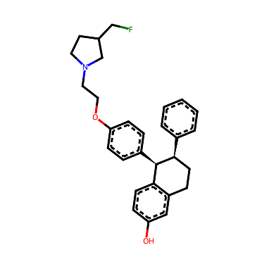 Oc1ccc2c(c1)CC[C@H](c1ccccc1)[C@@H]2c1ccc(OCCN2CCC(CF)C2)cc1